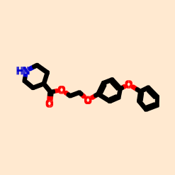 O=C(OCCOc1ccc(Oc2ccccc2)cc1)C1CCNCC1